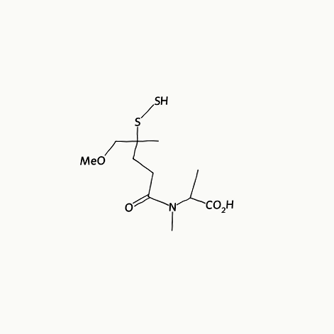 COCC(C)(CCC(=O)N(C)C(C)C(=O)O)SS